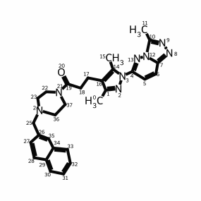 Cc1nn(-c2ccc3nnc(C)n3n2)c(C)c1CCC(=O)N1CCN(Cc2ccc3ccccc3c2)CC1